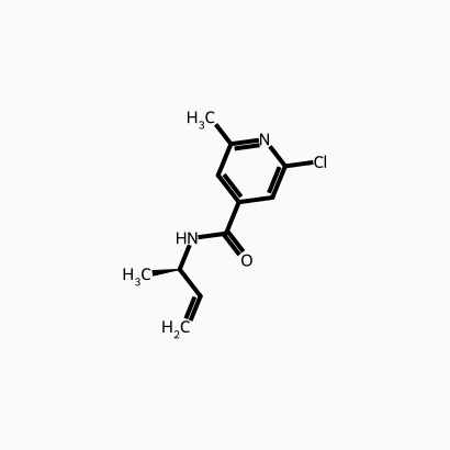 C=C[C@@H](C)NC(=O)c1cc(C)nc(Cl)c1